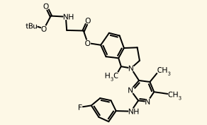 Cc1nc(Nc2ccc(F)cc2)nc(N2CCc3ccc(OC(=O)CNC(=O)OC(C)(C)C)cc3C2C)c1C